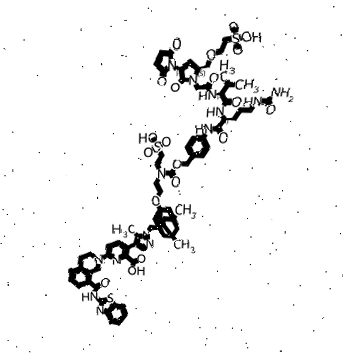 Cc1c(-c2ccc(N3CCc4cccc(C(=O)Nc5nc6ccccc6s5)c4C3)nc2C(=O)O)cnn1CC12CC3(C)CC(C)(C1)CC(OCCN(CCS(=O)(=O)O)C(=O)OCc1ccc(NC(=O)[C@H](CCCNC(N)=O)NC(=O)[C@@H](NC(=O)CN4C(=O)[C@@H](N5C(=O)C=CC5=O)C[C@H]4COCCS(=O)(=O)O)C(C)C)cc1)(C3)C2